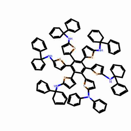 C1=CCC(Nc2ccc(-c3c(-c4ccc(NC5(c6ccccc6)C=CC=CC5)s4)c(-c4ccc(NC5(c6ccccc6)C=CC=CC5)s4)c(-c4ccc(N(c5ccccc5)c5ccccc5)s4)c(-c4ccc(NC5(c6ccccc6)C=CC=CC5)s4)c3-c3ccc(NC4(c5ccccc5)C=CC=CC4)s3)s2)(c2ccccc2)C=C1